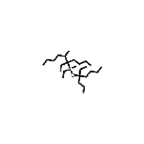 CCCCC(C)C(CC)(CCCC)[Si](C)(CC)OC(CC)(CCC)CCCC